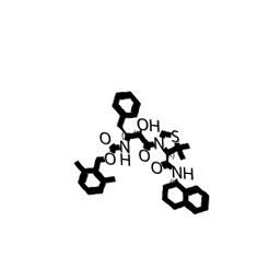 Cc1cccc(C)c1COC(=O)N[C@@H](Cc1ccccc1)[C@H](O)C(=O)N1CSC(C)(C)[C@H]1C(=O)N[C@H]1CCCc2ccccc21